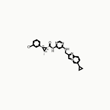 C[C@H]1[C@@H](C(=O)Nc2cc(NCc3cn4cc(C5CC5)ccc4n3)ncn2)[C@@H]1c1cccc(Cl)c1